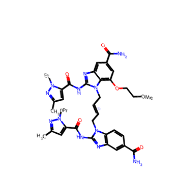 CCCn1nc(C)cc1C(=O)Nc1nc2cc(C(N)=O)ccc2n1C/C=C/Cn1c(NC(=O)c2cc(C)nn2CC)nc2cc(C(N)=O)cc(OCCOC)c21